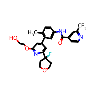 Cc1ccc(NC(=O)c2ccnc(C(F)(F)F)c2)cc1-c1cc(OCCO)nc(C2(F)CCOCC2)c1